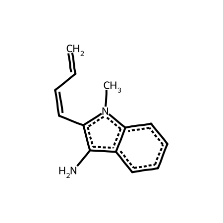 C=C/C=C\c1c(N)c2ccccc2n1C